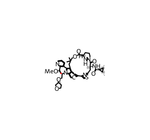 CO[C@@H](C)c1ncccc1-c1c2c3cc(ccc3n1CCO[C@@H]1CCOC1)-c1csc(n1)C[C@H](NC(=O)[C@H]1[C@H](C)[C@@H]1C)C(=O)N1CCC[C@H](N1)C(=O)OCC(C)(C)C2